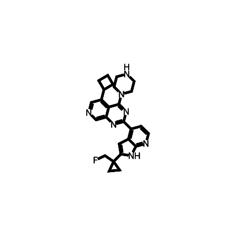 FCC1(c2cc3c(-c4nc(N5CCNCC5)c5c(C6CCC6)cncc5n4)ccnc3[nH]2)CC1